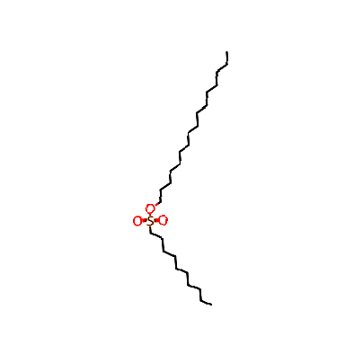 CCCCCCCCCCCCCCCCOS(=O)(=O)CCCCCCCCCC